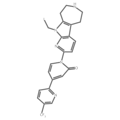 O=c1cc(-c2ccc(C(F)(F)F)cn2)ccn1-c1ccc2c3c(n(CI)c2n1)CCNCC3